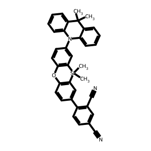 CC1(C)c2ccccc2N(c2ccc3c(c2)[Si](C)(C)c2cc(-c4ccc(C#N)cc4C#N)ccc2O3)c2ccccc21